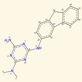 CN(C)c1nc(N)nc(Nc2ccc3c(c2)-c2ccccc2C3)n1